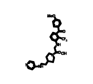 COc1ccc(C(=O)c2cccc(NCC(=O)N3CCC(CCNc4ccncc4)CC3)c2C(F)(F)F)cc1.Cl